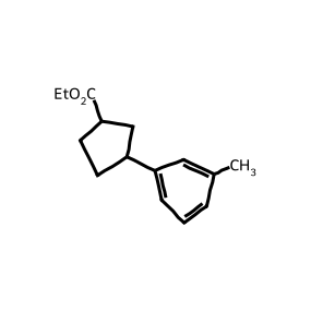 CCOC(=O)C1CCC(c2cccc(C)c2)C1